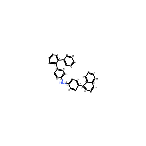 c1ccc(-c2ccccc2-c2ccc(Nc3ccc(-c4cccc5ccccc45)cc3)cc2)cc1